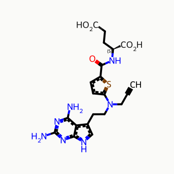 C#CCN(CCc1c[nH]c2nc(N)nc(N)c12)c1ccc(C(=O)N[C@@H](CCC(=O)O)C(=O)O)s1